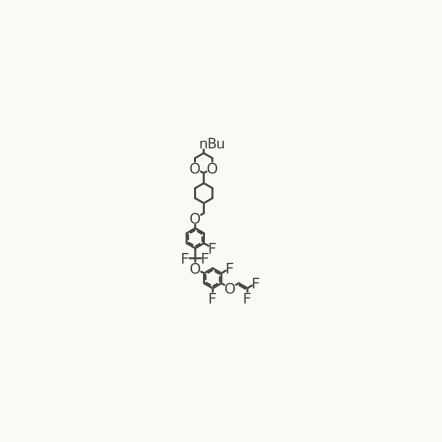 CCCCC1COC(C2CCC(COc3ccc(C(F)(F)Oc4cc(F)c(OC=C(F)F)c(F)c4)c(F)c3)CC2)OC1